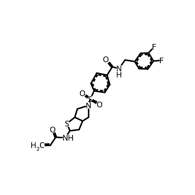 C=CC(=O)NC1CC2CN(S(=O)(=O)c3ccc(C(=O)NCc4ccc(F)c(F)c4)cc3)CC2S1